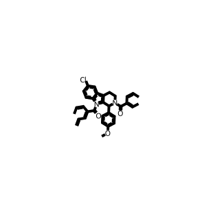 C=C/C=C(\C=C/C)C(=O)n1c2c(c3cc(Cl)ccc31)CCN(C(=O)C(/C=C\C)=C/C)C2c1ccc(OC)cc1